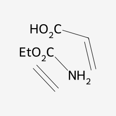 C=C.C=CC(=O)O.CCOC(N)=O